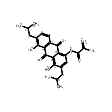 C=C(C)C(=O)Nc1cc(CC(C)C)c(O)c2c1C(=O)c1ccc(CC(C)C)c(O)c1C2=O